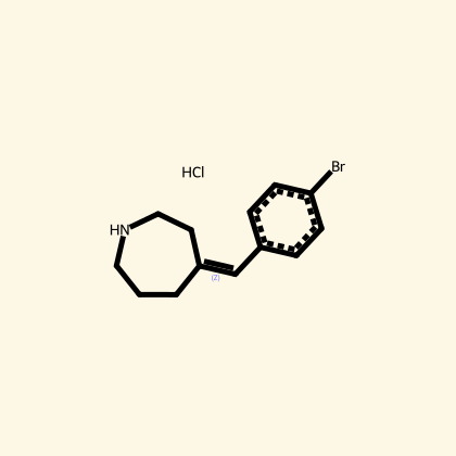 Brc1ccc(/C=C2/CCCNCC2)cc1.Cl